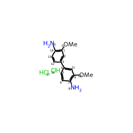 COc1cc(-c2ccc(N)c(OC)c2)ccc1N.Cl.Cl